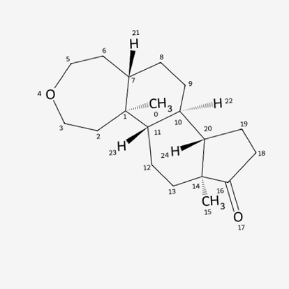 C[C@]12CCOCC[C@@H]1CC[C@@H]1[C@@H]2CC[C@]2(C)C(=O)CC[C@@H]12